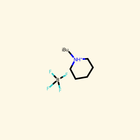 CCC(C)[NH+]1CCCCC1.F[B-](F)(F)F